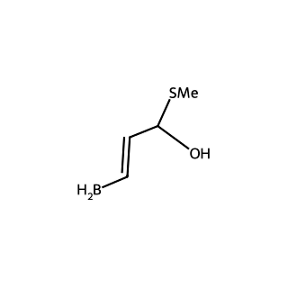 BC=CC(O)SC